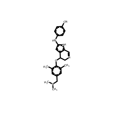 Cc1cc(CN(C)C)cc(C)c1OC1CN=Cc2[nH]c(Nc3ccc(C#N)cc3)cc21